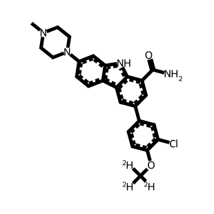 [2H]C([2H])([2H])Oc1ccc(-c2cc(C(N)=O)c3[nH]c4cc(N5CCN(C)CC5)ccc4c3c2)cc1Cl